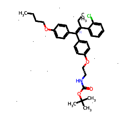 CCCCOc1ccc(/C(=C(\CC)c2ccccc2Cl)c2ccc(OCCNC(=O)OC(C)(C)C)cc2)cc1